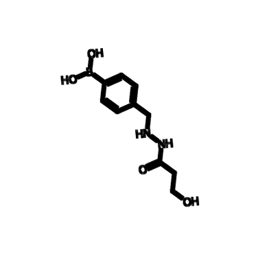 O=C(CCO)NNCc1ccc(B(O)O)cc1